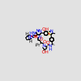 Cc1ncsc1-c1ccc([C@H](C)NC(=O)[C@@H]2C[C@@H](O)CN2C(=O)[C@@H](c2cc(OCCN3[C@@H]4CC[C@H]3CN(c3cc5cc(-c6ccccc6O)nnc5[nH]3)C4)no2)C(C)C)cc1